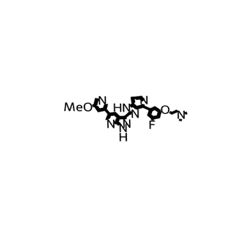 COc1cncc(-c2cnc3[nH]nc(-c4nc5c(-c6cc(F)cc(OCCN(C)C)c6)nccc5[nH]4)c3c2)c1